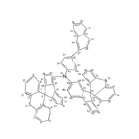 C1=CC2=C(CC1)C1(c3ccccc3S2)c2ccccc2-c2c(N(c3ccc(-c4ccc5ccccc5c4)cc3)c3ccc4c(c3)C3(c5ccccc5Sc5ccccc53)c3ccccc3-4)cccc21